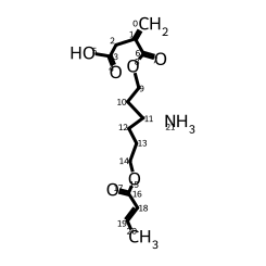 C=C(CC(=O)O)C(=O)OCCCCCCOC(=O)C=CC.N